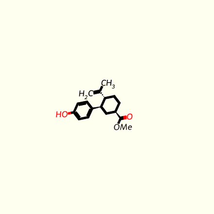 C=C(C)[C@@H]1CC[C@@H](C(=O)OC)C[C@H]1c1ccc(O)cc1